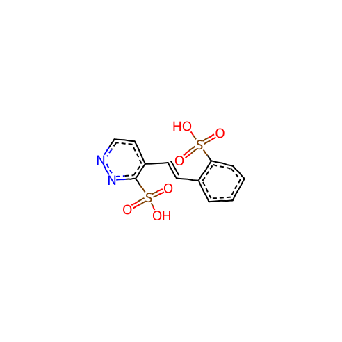 O=S(=O)(O)c1ccccc1C=Cc1ccnnc1S(=O)(=O)O